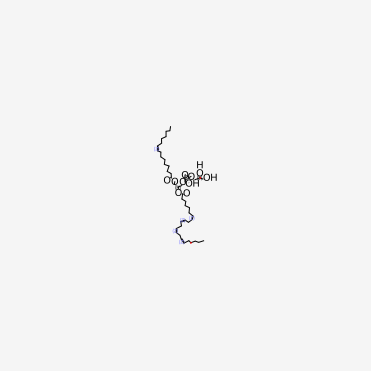 CCCCC/C=C\C/C=C\C/C=C\C/C=C\CCCCCC(=O)O[C@H](COC(=O)CCCCCCC/C=C\CCCCCC)COP(=O)(O)OC[C@@H](O)CO